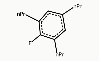 CCCc1cc(CCC)c(F)c(CCC)c1